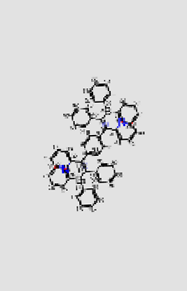 c1ccc(B(/C(=C(/c2ccc(/C(=C(/B(c3ccccc3)c3ccccc3)c3ccccc3)c3ccccn3)cc2)c2ccccn2)c2ccccc2)c2ccccc2)cc1